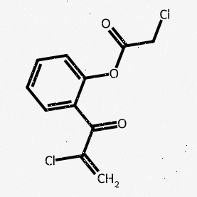 C=C(Cl)C(=O)c1ccccc1OC(=O)CCl